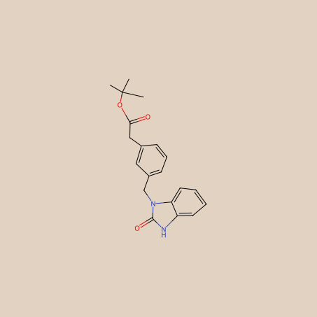 CC(C)(C)OC(=O)Cc1cccc(Cn2c(=O)[nH]c3ccccc32)c1